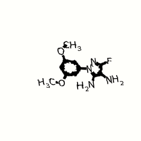 COc1cc(OC)cc(-n2nc(F)c(N)c2N)c1